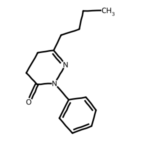 CCCCC1=NN(c2ccccc2)C(=O)CC1